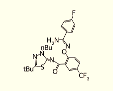 CCCCn1nc(C(C)(C)C)sc1=NC(=O)c1cc(C(F)(F)F)ccc1ON=C(N)c1ccc(F)cc1